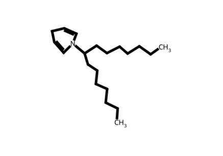 CCCCCCCC(CCCCCCC)N1C=CCC=C1